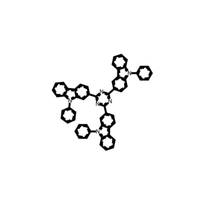 c1ccc(-n2c3ccccc3c3cc(-c4nc(-c5ccc6c7ccccc7n(-c7ccccc7)c6c5)nc(-c5ccc6c7ccccc7n(-c7ccccc7)c6c5)n4)ccc32)cc1